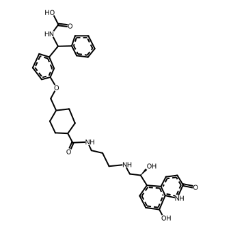 O=C(O)NC(c1ccccc1)c1cccc(OCC2CCC(C(=O)NCCCNC[C@@H](O)c3ccc(O)c4[nH]c(=O)ccc34)CC2)c1